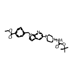 COC(=O)c1ccc(Cn2ccc3cc(N4CCN(NC(=O)OC(C)(C)C)CC4)cnc32)cc1